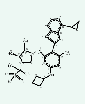 CCS(=O)(=O)C(C)(C)[C@H]1C[C@@H](Nc2nc(NC3CCC3)nc(C)c2-c2nc3c(C4CC4)nccc3s2)[C@H](O)[C@@H]1O